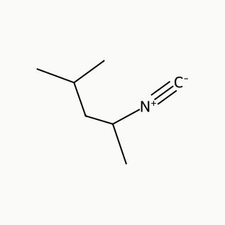 [C-]#[N+]C(C)CC(C)C